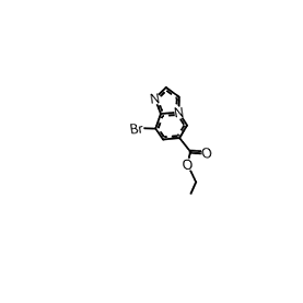 CCOC(=O)c1cc(Br)c2nccn2c1